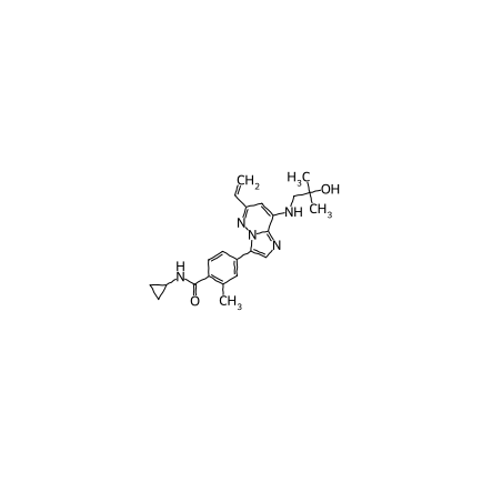 C=Cc1cc(NCC(C)(C)O)c2ncc(-c3ccc(C(=O)NC4CC4)c(C)c3)n2n1